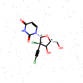 O=c1ccn([C@@H]2O[C@H](CO)C(O)[C@]2(Cl)C#CCl)c(=O)[nH]1